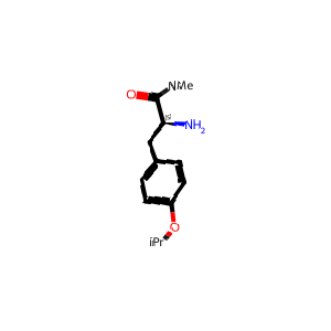 CNC(=O)[C@@H](N)Cc1ccc(OC(C)C)cc1